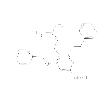 CCCCCc1cc(OCc2ccccc2)c(CC=C(C)C)c(OCc2ccccc2)c1